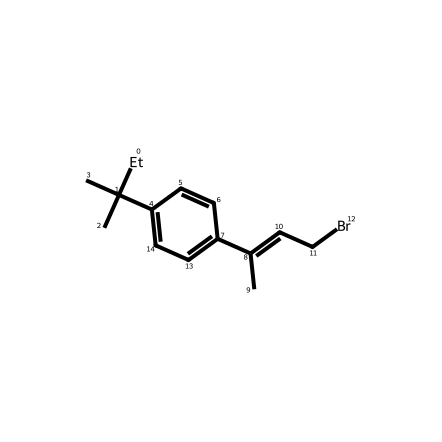 CCC(C)(C)c1ccc(C(C)=CCBr)cc1